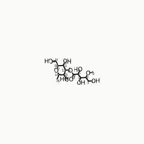 COC(CO)C(O)C(O)C(O)OC1C(O)C(C)OC(CO)C1O